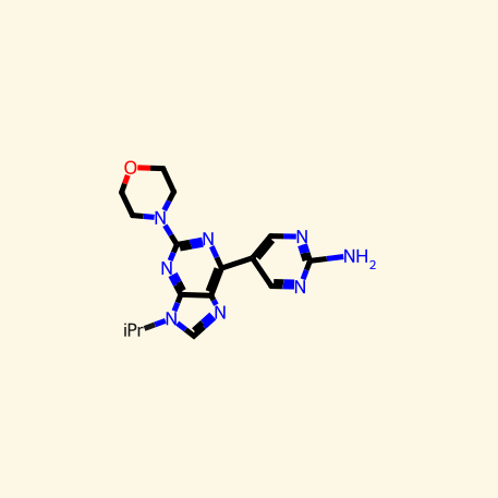 CC(C)n1cnc2c(-c3cnc(N)nc3)nc(N3CCOCC3)nc21